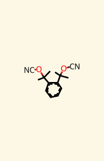 CC(C)(OC#N)c1ccccc1C(C)(C)OC#N